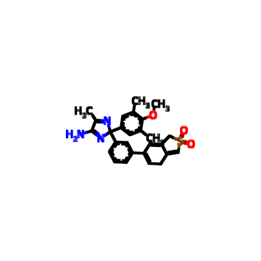 COc1c(C)cc(C2(c3cccc(C4=CCC5=CS(=O)(=O)CC5=C4)c3)N=C(C)C(N)=N2)cc1C